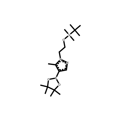 Cc1c(B2OC(C)(C)C(C)(C)O2)cnn1CCO[Si](C)(C)C(C)(C)C